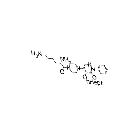 CCCCCCCOc1c(N2CCN(C(=O)[C@@H](N)CCCCN)CC2)cnn(-c2ccccc2)c1=O